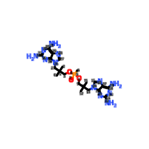 CC(C)(COP(C)(=O)OCC(C)(C)Cn1cnc2c(N)nc(N)nc21)Cn1cnc2c(N)nc(N)nc21